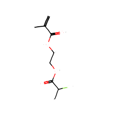 C=C(C)C(=O)OCCOC(=O)C(C)F